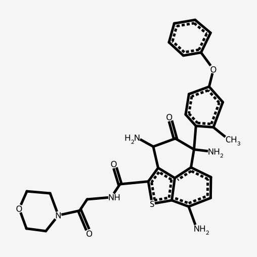 Cc1cc(Oc2ccccc2)ccc1C1(N)C(=O)C(N)c2c(C(=O)NCC(=O)N3CCOCC3)sc3c(N)ccc1c23